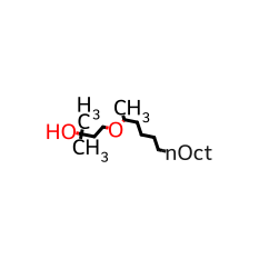 CCCCCCCCCCCCC(C)OCCC(C)(C)O